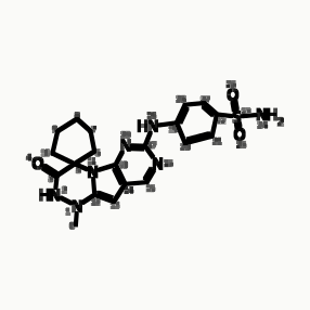 CN1NC(=O)C2(CCCCC2)n2c1cc1cnc(Nc3ccc(S(N)(=O)=O)cc3)nc12